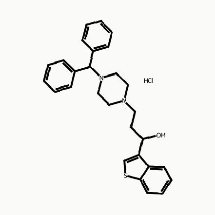 Cl.OC(CCN1CCN(C(c2ccccc2)c2ccccc2)CC1)c1csc2ccccc12